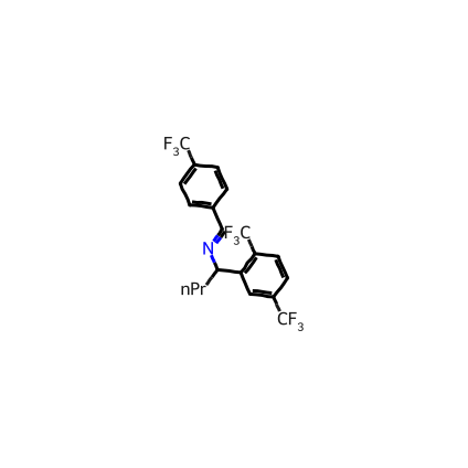 CCCC(N=Cc1ccc(C(F)(F)F)cc1)c1cc(C(F)(F)F)ccc1C(F)(F)F